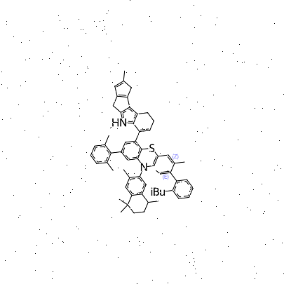 C/C=C(\C(C)=C/C1=CN(c2cc3c(cc2C)C(C)(C)CCC3C)c2cc(-c3c(C)cccc3C)cc(C3=CCCc4c3[nH]c3c4C4=C(C=C(C)C4)C3)c2S1)c1ccccc1C(C)CC